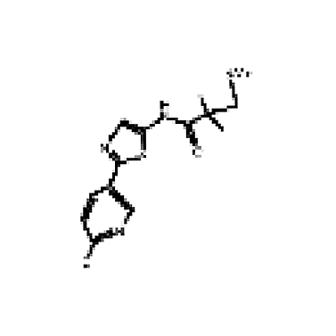 CSCC(C)(C)C(=O)Nc1cnc(-c2ccc(Cl)nc2)s1